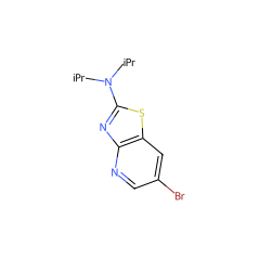 CC(C)N(c1nc2ncc(Br)cc2s1)C(C)C